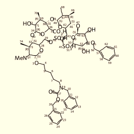 CNC1[C@@H](OCCCCCN(Cc2ccccc2)C(=O)OCc2ccccc2)OC(COS(=O)(=O)O)[C@@H](O[C@@H]2OC(C(=O)O)[C@@H](O[C@H]3OC(COS(=O)(=O)O)[C@@H](O[C@@H]4OC(C)[C@@H](O)[C@@H](OCc5ccccc5)C4O)[C@H](C)C3C)[C@H](C)C2O)[C@@H]1C